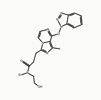 CCN(CCO)C(=O)CCc1nc(I)c2c(On3nnc4ccccc43)nccn12